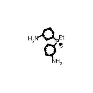 CCP(=O)(c1cccc(N)c1)c1cccc(N)c1